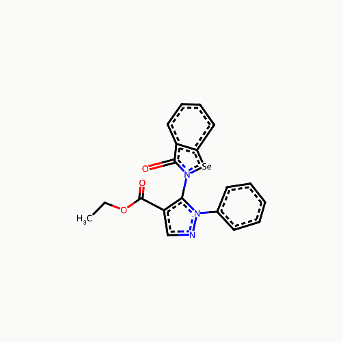 CCOC(=O)c1cnn(-c2ccccc2)c1-n1[se]c2ccccc2c1=O